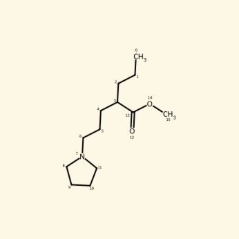 CCCC(CCCN1CCCC1)C(=O)OC